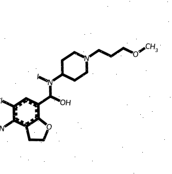 COCCCN1CCC(N(I)C(O)c2cc(Cl)c(N)c3c2OCC3)CC1